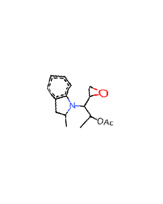 CC(=O)OC(C)C(C1CO1)N1c2ccccc2CC1C